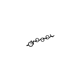 C=C1CCCN(CCOCCOCCOC/C(C)=C/C)CC1